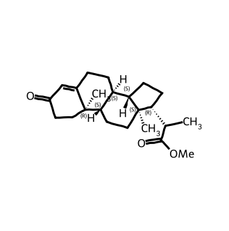 COC(=O)C(C)[C@H]1CC[C@H]2[C@@H]3CCC4=CC(=O)CC[C@]4(C)[C@H]3CC[C@]12C